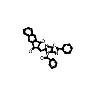 O=C1C(=Cc2nc3oc(-c4ccccc4)nc3n2C(=O)c2ccccc2)C(=O)c2cc3ccccc3cc21